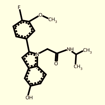 COc1cc(-c2cc3cc(O)ccc3n2CC(=O)NC(C)C)ccc1F